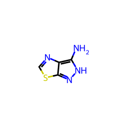 Nc1[nH]nc2scnc12